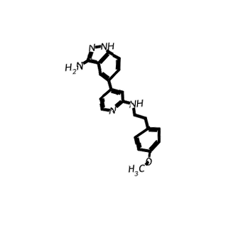 COc1ccc(CCNc2cc(-c3ccc4[nH]nc(N)c4c3)ccn2)cc1